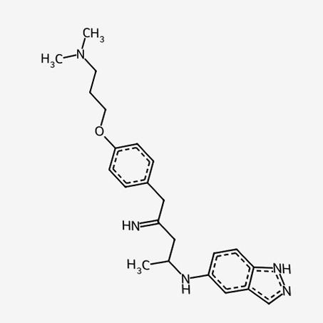 CC(CC(=N)Cc1ccc(OCCCN(C)C)cc1)Nc1ccc2[nH]ncc2c1